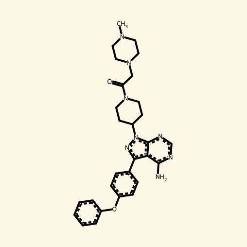 CN1CCN(CC(=O)N2CCC(n3nc(-c4ccc(Oc5ccccc5)cc4)c4c(N)ncnc43)CC2)CC1